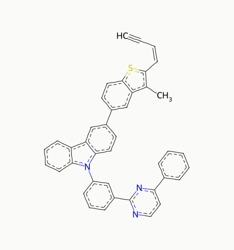 C#C/C=C\c1sc2ccc(-c3ccc4c(c3)c3ccccc3n4-c3cccc(-c4nccc(-c5ccccc5)n4)c3)cc2c1C